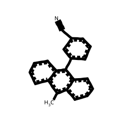 Cc1c2ccccc2c(-c2cccc(C#N)c2)c2ccccc12